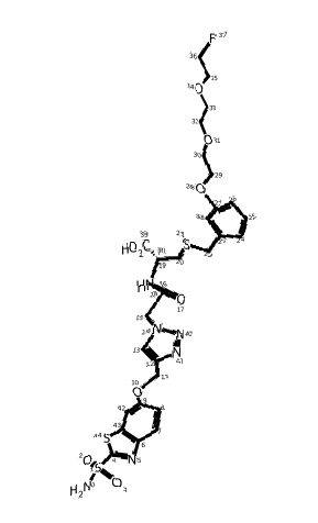 NS(=O)(=O)c1nc2ccc(OCc3cn(CC(=O)N[C@@H](CSCc4cccc(OCCOCCOCCF)c4)C(=O)O)nn3)cc2s1